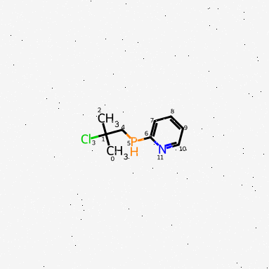 CC(C)(Cl)CPc1ccccn1